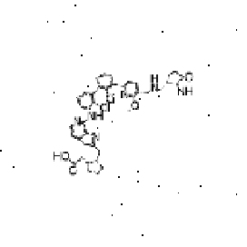 COc1nc(-c2cccc(-c3cccc(Nc4nccc5c4N=C(CC4CCCC4CC(=O)O)C5)c3Cl)c2Cl)ccc1CNC[C@@H]1CCC(=O)C1=N